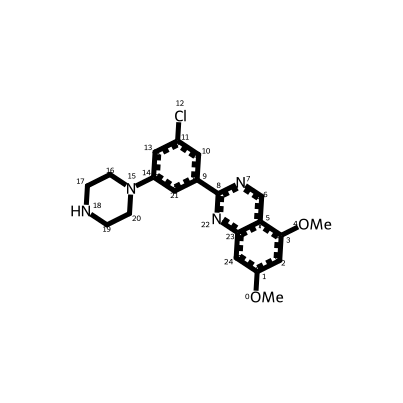 COc1cc(OC)c2cnc(-c3cc(Cl)cc(N4CCNCC4)c3)nc2c1